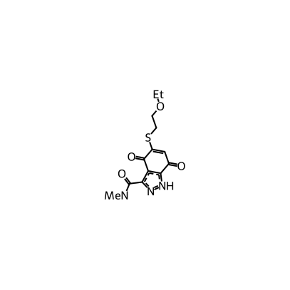 CCOCCSC1=CC(=O)c2[nH]nc(C(=O)NC)c2C1=O